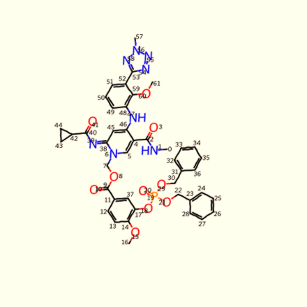 CNC(=O)c1cn(COC(=O)c2ccc(OC)c(OP(=O)(OCc3ccccc3)OCc3ccccc3)c2)/c(=N/C(=O)C2CC2)cc1Nc1cccc(-c2nnn(C)n2)c1OC